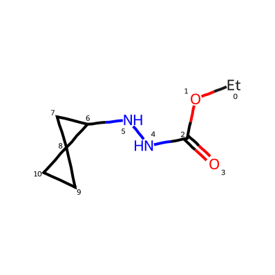 CCOC(=O)NNC1CC12CC2